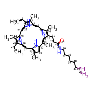 C=Cc1c(C)c2cc3nc(c(C)c4cc(C)c(cc5nc(cc1[nH]2)C(C)=C5CC)[nH]4)C(CCC(=O)NCCCCCCPP)=C3C